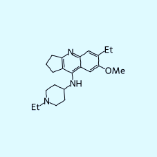 CCc1cc2nc3c(c(NC4CCN(CC)CC4)c2cc1OC)CCC3